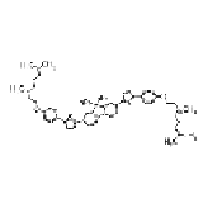 CCCC1(CCC)c2cc(-c3ccc(-c4ccc(OCCC(C)CCC=C(C)C)cc4)s3)ccc2-c2ccc(-c3ccc(-c4ccc(OCC[C@H](C)CCC=C(C)C)cc4)s3)cc21